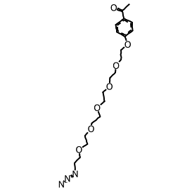 CC(=O)c1ccc(OCCOCCOCCOCCOCCOCCN=[N+]=[N-])cc1